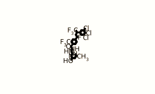 Cc1cc(O)nc(NNC(=O)c2ccc(/C(F)=C/C(c3cc(Cl)c(Cl)c(Cl)c3)C(F)(F)F)cc2C(F)(F)F)n1